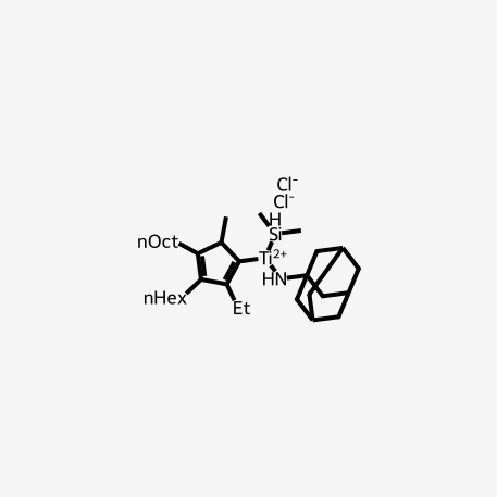 CCCCCCCCC1=C(CCCCCC)C(CC)=[C]([Ti+2]([NH]C23CC4CC(CC(C4)C2)C3)[SiH](C)C)C1C.[Cl-].[Cl-]